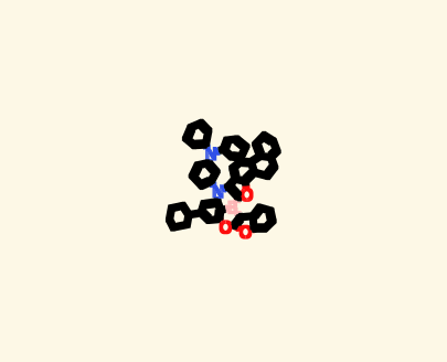 c1ccc(N(c2ccccc2)c2cccc(N3c4cc(C5CCCCC5)cc5c4B(c4oc6c(ccc7c8ccccc8ccc76)c43)c3c(oc4ccccc34)O5)c2)cc1